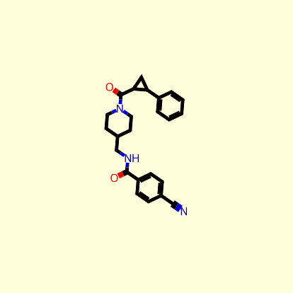 N#Cc1ccc(C(=O)NCC2CCN(C(=O)C3CC3c3ccccc3)CC2)cc1